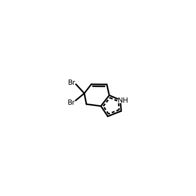 BrC1(Br)C=Cc2[nH]ccc2C1